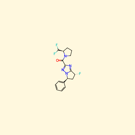 O=C(c1nc2n(n1)[C@H](c1ccccc1)C[C@H]2F)N1CCC[C@@H]1C(F)F